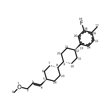 COCC=C[C@H]1CC[C@H]([C@H]2CC[C@H](c3ccc(C)c(F)c3)CC2)CC1